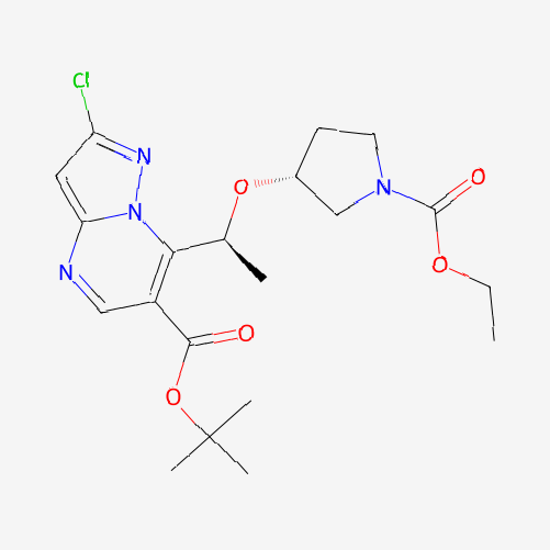 CCOC(=O)N1CC[C@@H](O[C@@H](C)c2c(C(=O)OC(C)(C)C)cnc3cc(Cl)nn23)C1